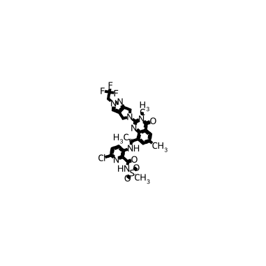 Cc1cc([C@@H](C)Nc2ccc(Cl)nc2C(=O)NS(C)(=O)=O)c2nc(N3Cc4cn(CC(F)(F)F)nc4C3)n(C)c(=O)c2c1